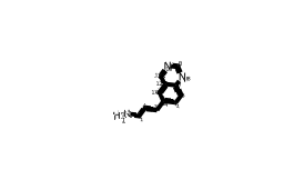 NCC=Cc1ccc2ncn[c]c2c1